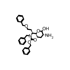 N[C@@H]1CC[C@@H]([C@H](CCOCc2ccccc2)N(Cc2ccccc2)C(=O)OCc2ccccc2)OC1O